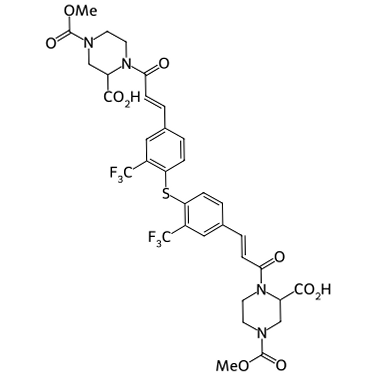 COC(=O)N1CCN(C(=O)/C=C/c2ccc(Sc3ccc(/C=C/C(=O)N4CCN(C(=O)OC)CC4C(=O)O)cc3C(F)(F)F)c(C(F)(F)F)c2)C(C(=O)O)C1